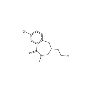 CN1CC(CCCl)Cc2ncc(Cl)cc2C1=O